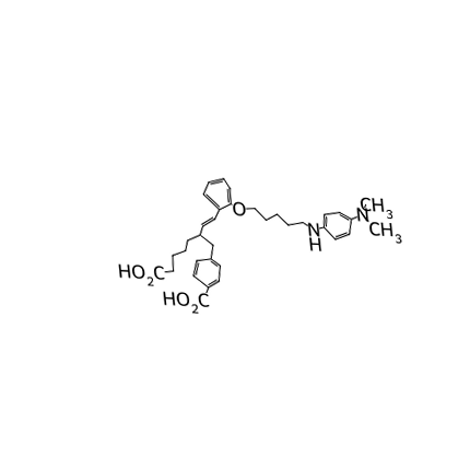 CN(C)c1ccc(NCCCCCOc2ccccc2/C=C/C(CCCCC(=O)O)Cc2ccc(C(=O)O)cc2)cc1